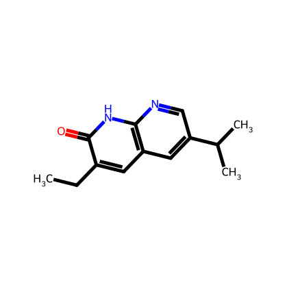 CCc1cc2cc(C(C)C)cnc2[nH]c1=O